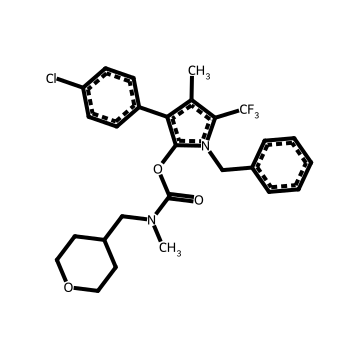 Cc1c(-c2ccc(Cl)cc2)c(OC(=O)N(C)CC2CCOCC2)n(Cc2ccccc2)c1C(F)(F)F